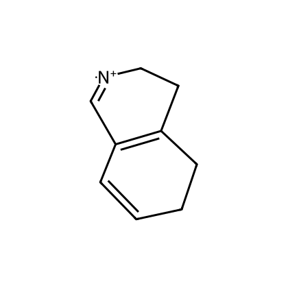 C1=CC2=C(CC1)CC[N+]=C2